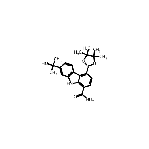 CC(C)(O)c1ccc2c(c1)[nH]c1c(C(N)=O)ccc(B3OC(C)(C)C(C)(C)O3)c12